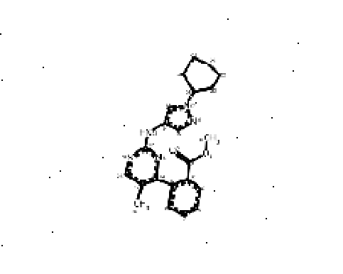 COC(=O)c1ccccc1-c1nc(Nc2cnn(C3CCCCC3)c2)ncc1C